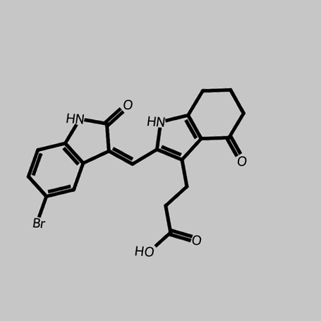 O=C(O)CCc1c(/C=C2\C(=O)Nc3ccc(Br)cc32)[nH]c2c1C(=O)CCC2